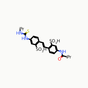 CC(C)NC(=S)Nc1ccc(C=Cc2ccc(NC(=O)C(C)C)cc2S(=O)(=O)O)c(S(=O)(=O)O)c1